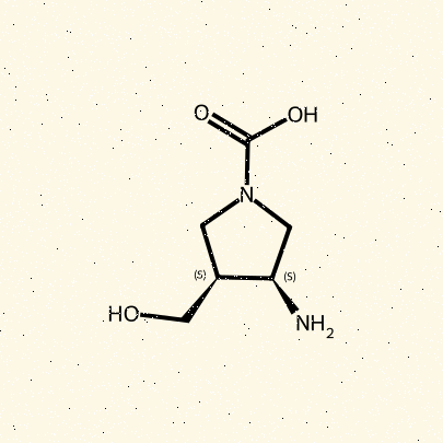 N[C@@H]1CN(C(=O)O)C[C@@H]1CO